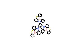 c1ccc2c(c1)Sc1cccc3c1B2c1ccccc1N3c1cc2c(c3cccc4c3n2-c2cccc3c2B4c2ccccc2S3)c2c1c1cccc3c1n2-c1cccc2c1B3c1ccccc1S2